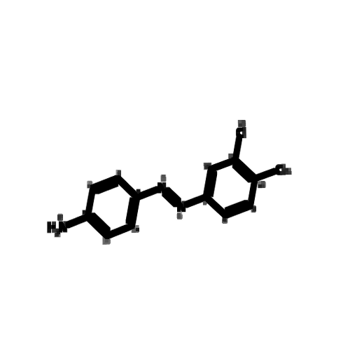 Nc1ccc(N=Nc2ccc(Cl)c(Cl)c2)cc1